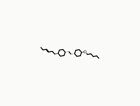 CC/C=C/CC[C@H]1CC[C@H](CC[C@H]2CC[C@H](OCCCCC)CC2)CC1